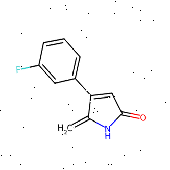 C=C1NC(=O)C=C1c1cccc(F)c1